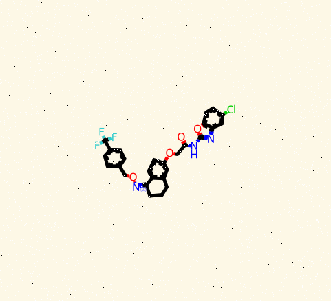 O=C(COc1ccc2c(c1)CCC/C2=N/OCc1ccc(C(F)(F)F)cc1)Nc1nc2cc(Cl)ccc2o1